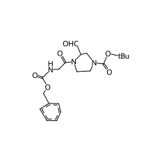 CC(C)(C)OC(=O)N1CCN(C(=O)CNC(=O)OCc2ccccc2)C(C=O)C1